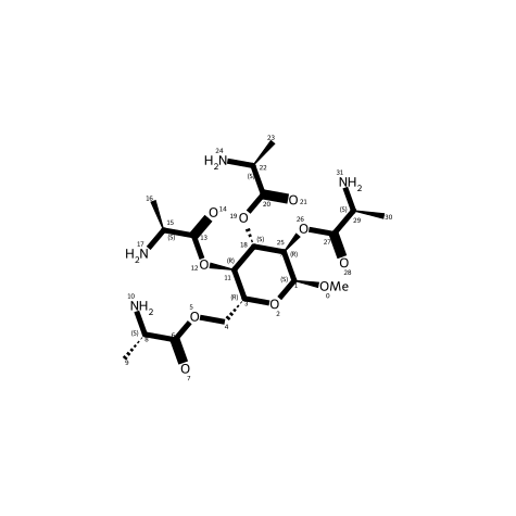 CO[C@H]1O[C@H](COC(=O)[C@H](C)N)[C@@H](OC(=O)[C@H](C)N)[C@H](OC(=O)[C@H](C)N)[C@H]1OC(=O)[C@H](C)N